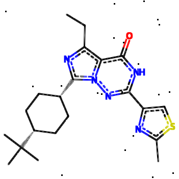 CCc1nc([C@H]2CC[C@@H](C(C)(C)C)CC2)n2nc(-c3csc(C)n3)[nH]c(=O)c12